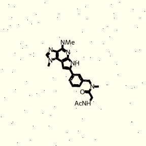 CNc1nc2[nH]c(-c3cccc(CN(C)C(=O)CNC(C)=O)c3)cc2c2c1ncn2C